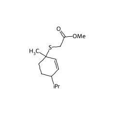 COC(=O)CSC1(C)C=CC(C(C)C)CC1